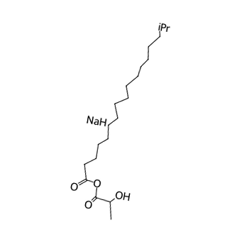 CC(C)CCCCCCCCCCCCCCC(=O)OC(=O)C(C)O.[NaH]